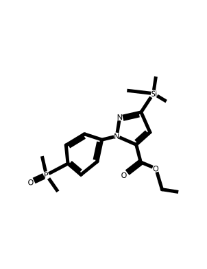 CCOC(=O)c1cc([Si](C)(C)C)nn1-c1ccc(P(C)(C)=O)cc1